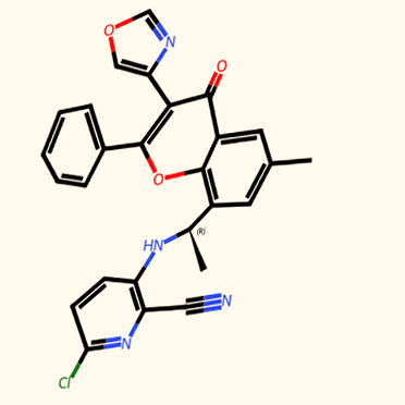 Cc1cc([C@@H](C)Nc2ccc(Cl)nc2C#N)c2oc(-c3ccccc3)c(-c3cocn3)c(=O)c2c1